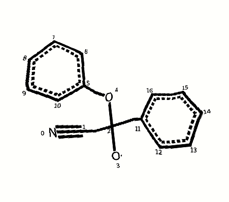 N#CC([O])(Oc1ccccc1)c1ccccc1